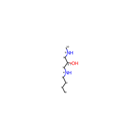 CCCCNCC(O)CNC